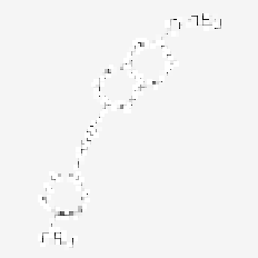 CCCCOc1ccc2cc(C#Cc3ccc(CCCC)cc3)ccc2c1